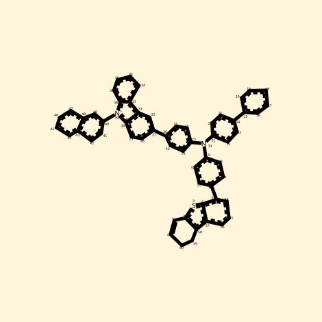 C1=Cc2sc3c(-c4ccc(N(c5ccc(-c6ccccc6)cc5)c5ccc(-c6ccc7c(c6)c6ccccc6n7-c6ccc7ccccc7c6)cc5)cc4)cccc3c2CC1